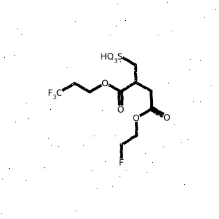 O=C(CC(CS(=O)(=O)O)C(=O)OCCC(F)(F)F)OCCF